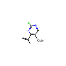 C=C(C)c1nc(Cl)ncc1OC